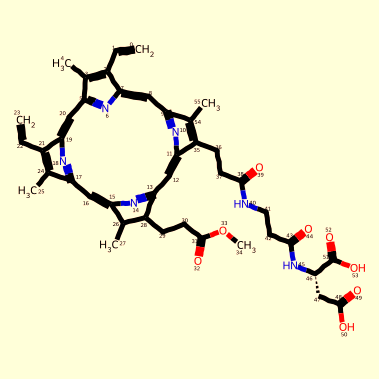 C=CC1=C(C)C2=NC1=CC1=NC(=CC3=NC(=CC4=NC(=C2)C(C=C)=C4C)C(C)C3CCC(=O)OC)C(CCC(=O)NCCC(=O)N[C@@H](CC(=O)O)C(=O)O)=C1C